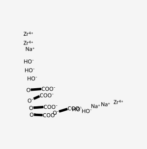 O=C([O-])[O-].O=C([O-])[O-].O=C([O-])[O-].O=C([O-])[O-].O=C([O-])[O-].[Na+].[Na+].[Na+].[OH-].[OH-].[OH-].[OH-].[OH-].[Zr+4].[Zr+4].[Zr+4]